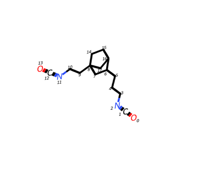 O=C=NCCCC1CC2(CCN=C=O)CCC1C2